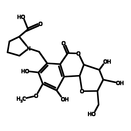 COc1c(O)c(CN2CCCC2C(=O)O)c2c(c1O)C1OC(CO)C(O)C(O)C1OC2=O